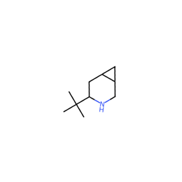 CC(C)(C)C1CC2CC2CN1